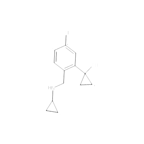 CC1(c2cc(Cl)ccc2CNC2CC2)CC1